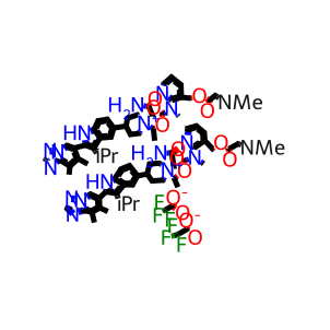 CNCC(=O)OCc1cccnc1N(C)C(=O)OC(C)[N+]1(CC(N)=O)CCC(c2ccc3[nH]c(-c4cn5ncnc5c(C)c4C)c(C(C)C)c3c2)CC1.CNCC(=O)OCc1cccnc1N(C)C(=O)OC(C)[N+]1(CC(N)=O)CCC(c2ccc3[nH]c(-c4cn5ncnc5c(C)c4C)c(C(C)C)c3c2)CC1.O=C([O-])C(F)(F)F.O=C([O-])C(F)(F)F